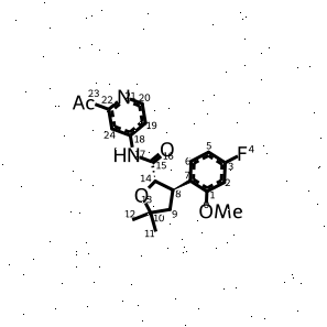 COc1cc(F)ccc1[C@H]1CC(C)(C)O[C@@H]1C(=O)Nc1ccnc(C(C)=O)c1